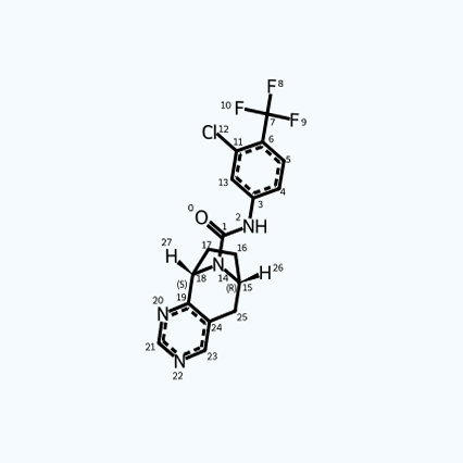 O=C(Nc1ccc(C(F)(F)F)c(Cl)c1)N1[C@@H]2CC[C@H]1c1ncncc1C2